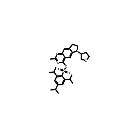 Cc1nc(OS(=O)(=O)c2c(C(C)C)cc(C(C)C)cc2C(C)C)c2cc3c(cc2n1)CCN3C1CCOC1